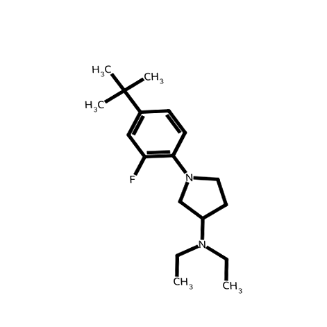 CCN(CC)C1CCN(c2ccc(C(C)(C)C)cc2F)C1